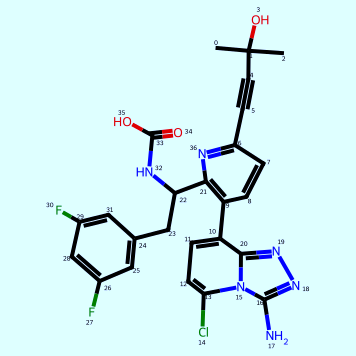 CC(C)(O)C#Cc1ccc(-c2ccc(Cl)n3c(N)nnc23)c(C(Cc2cc(F)cc(F)c2)NC(=O)O)n1